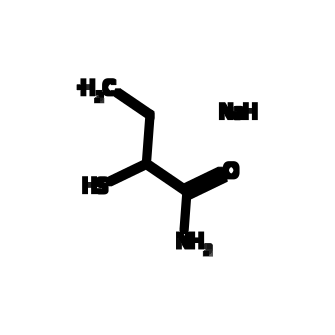 [CH2]CC(S)C(N)=O.[NaH]